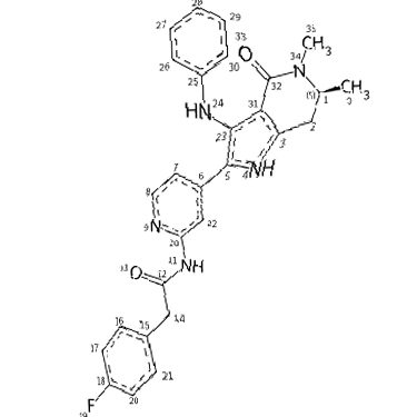 C[C@H]1Cc2[nH]c(-c3ccnc(NC(=O)Cc4ccc(F)cc4)c3)c(Nc3ccccc3)c2C(=O)N1C